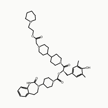 Cc1cc(C[C@@H](OC(=O)N2CCC(N3CCc4ccccc4NC3=O)CC2)C(=O)N2CCC(C3CCN(CC(=O)OCCN4CCCCC4)CC3)CC2)cc(C)c1O